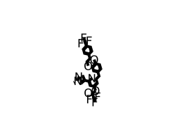 Cn1cc(-c2cc(OC(=O)C(F)(F)F)cc(Cc3ccc4c(c3)OCC(c3ccc(C(F)(F)F)cc3)O4)n2)cn1